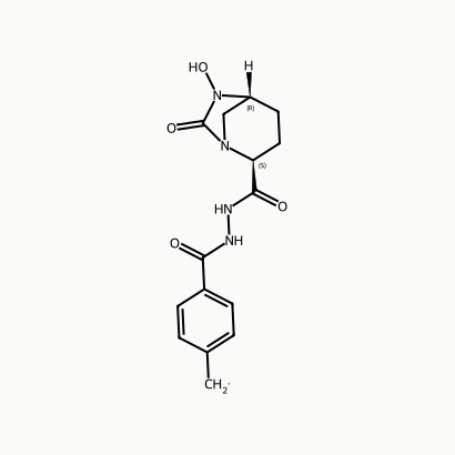 [CH2]c1ccc(C(=O)NNC(=O)[C@@H]2CC[C@@H]3CN2C(=O)N3O)cc1